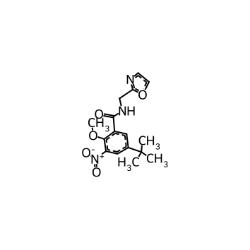 COc1c(C(=O)NCc2ncco2)cc(C(C)(C)C)cc1[N+](=O)[O-]